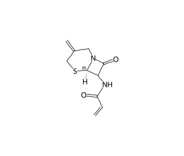 C=CC(=O)NC1C(=O)N2CC(=C)CS[C@H]12